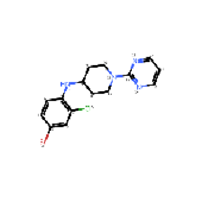 Clc1cc(Br)ccc1NC1CCN(c2ncccn2)CC1